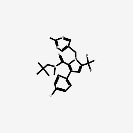 Cc1ncc(Cn2c(C(F)(F)F)cc(-c3ccc(Cl)cc3)c2C(=O)N(C)CC(C)(C)C)cn1